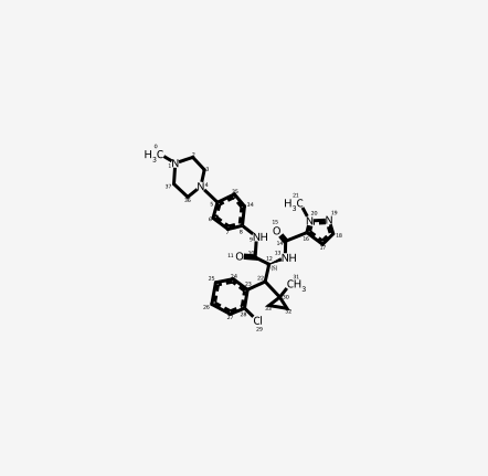 CN1CCN(c2ccc(NC(=O)[C@@H](NC(=O)c3ccnn3C)C(c3ccccc3Cl)C3(C)CC3)cc2)CC1